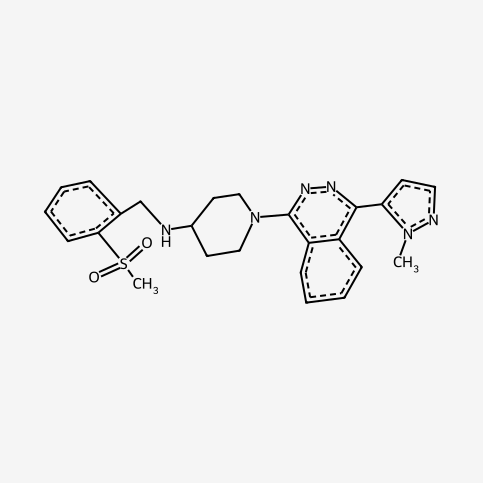 Cn1nccc1-c1nnc(N2CCC(NCc3ccccc3S(C)(=O)=O)CC2)c2ccccc12